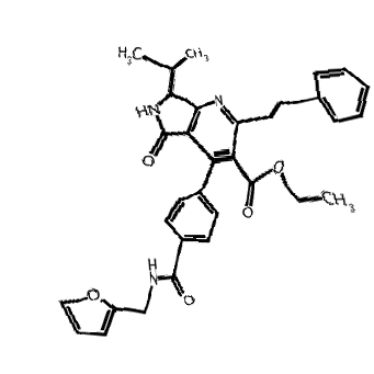 CCOC(=O)c1c(CCc2ccccc2)nc2c(c1-c1ccc(C(=O)NCc3ccco3)cc1)C(=O)NC2C(C)C